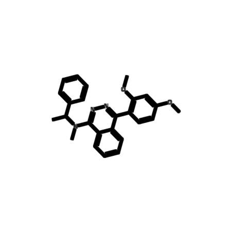 COc1ccc(-c2nnc(N(C)C(C)c3ccccc3)c3ccccc23)c(OC)c1